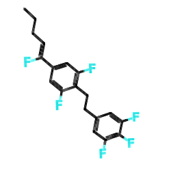 CCCC=C(F)c1cc(F)c(CCc2cc(F)c(F)c(F)c2)c(F)c1